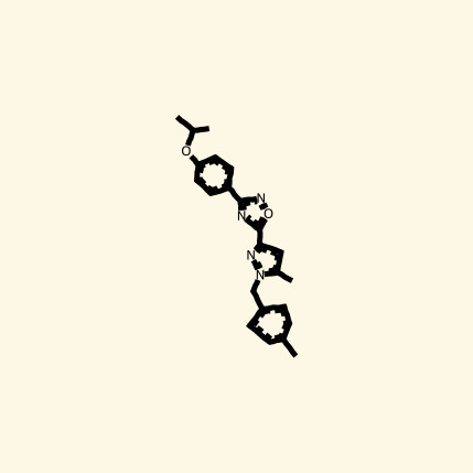 Cc1ccc(Cn2nc(-c3nc(-c4ccc(OC(C)C)cc4)no3)cc2C)cc1